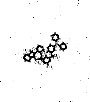 Cc1cc2c3c(c1)C(C)(C)c1cc(N(c4ccccc4)c4ccccc4)ccc1B3c1cccc3c1C[C@@H]2C(C)C1=C3C(C)(C)c2ccccc21